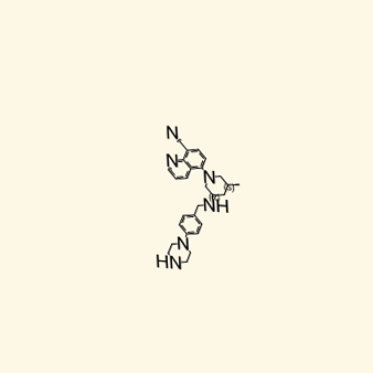 C[C@H]1C[C@@H](NCc2ccc(N3CCNCC3)cc2)CN(c2ccc(C#N)c3ncccc23)C1